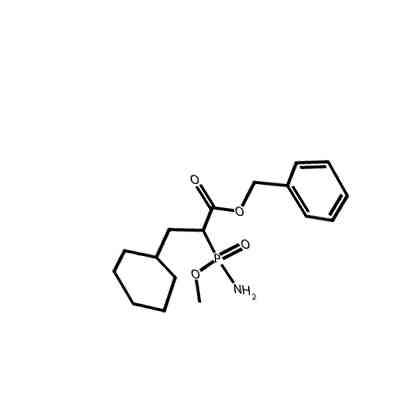 COP(N)(=O)C(CC1CCCCC1)C(=O)OCc1ccccc1